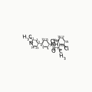 Cc1cc(-c2ccc(NC(=O)C(C)c3c(Cl)cccc3Cl)cc2)ccn1